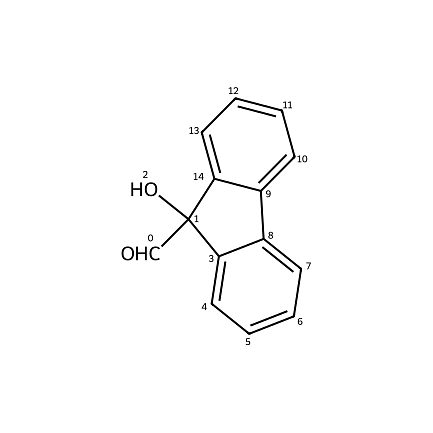 O=CC1(O)c2ccccc2-c2ccccc21